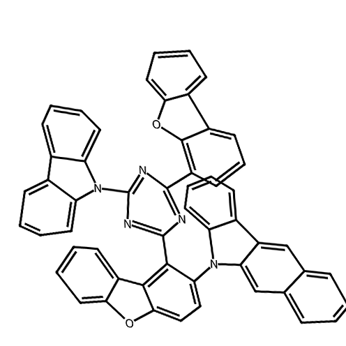 c1ccc2cc3c(cc2c1)c1ccccc1n3-c1ccc2oc3ccccc3c2c1-c1nc(-c2cccc3c2oc2ccccc23)nc(-n2c3ccccc3c3ccccc32)n1